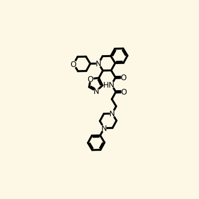 O=C(CCN1CCN(c2ccccc2)CC1)NC(=O)C1c2ccccc2CN(C2CCOCC2)C1c1cnco1